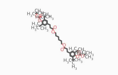 CC(C)(C)OC(=O)Oc1c(C(C)(C)C)cc(CCC(=O)OCCCCCCOC(=O)CCc2cc(C(C)(C)C)c(OC(=O)OC(C)(C)C)c(C(C)(C)C)c2)cc1C(C)(C)C